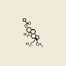 CC1C2CCC3C4CC=C5CC(OC(=O)C6CCC6)CCC5(C)C4CCC32CN1C